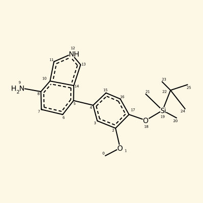 COc1cc(-c2ccc(N)c3c[nH]cc23)ccc1O[Si](C)(C)C(C)(C)C